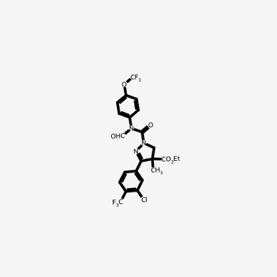 CCOC(=O)C1(C)CN(C(=O)N(C=O)c2ccc(OC(F)(F)F)cc2)N=C1c1ccc(C(F)(F)F)c(Cl)c1